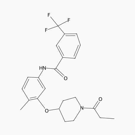 CCC(=O)N1CCC(Oc2cc(NC(=O)c3cccc(C(F)(F)F)c3)ccc2C)CC1